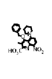 Cc1c(C(=O)O)nc2c([N+](=O)[O-])ccc(N3CCCCC3)c2c1OCc1ccccc1